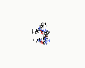 C#CC(C)(C)c1cc(NC(=O)Nc2ccc(Oc3ccnc(Nc4cc(OCCN(C)C)ccn4)n3)c3ccccc23)n(-c2ccc(C)cc2)n1